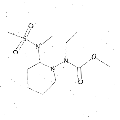 CCN(C(=O)OC)N1CCCCC1N(C)S(C)(=O)=O